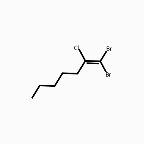 CCCCCC(Cl)=C(Br)Br